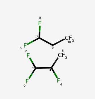 FC(F)C(F)C(F)(F)F.FC(F)CC(F)(F)F